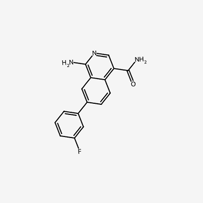 NC(=O)c1cnc(N)c2cc(-c3cccc(F)c3)ccc12